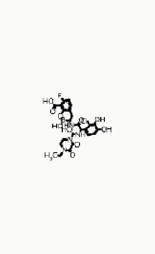 CCN1CCN(C(O)NC(C(=O)N[C@H]2Cc3ccc(F)c(C(=O)O)c3OB2O)c2ccc(O)c(O)c2Cl)C(=O)C1=O